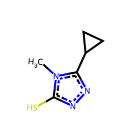 Cn1c(S)nnc1C1CC1